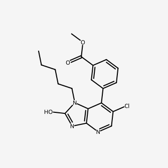 CCCCCn1c(O)nc2ncc(Cl)c(-c3cccc(C(=O)OC)c3)c21